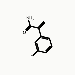 C=C(C(N)=O)c1cccc(F)c1